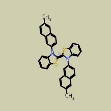 Cc1ccc2cc(N3/C(=C4\Sc5ccccc5N4c4ccc5cc(C)ccc5c4)Sc4ccccc43)ccc2c1